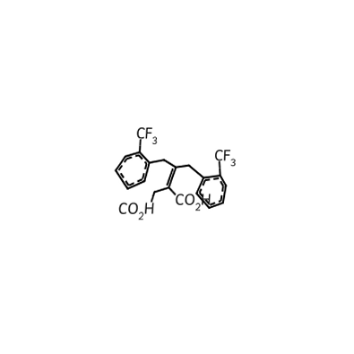 O=C(O)CC(C(=O)O)=C(Cc1ccccc1C(F)(F)F)Cc1ccccc1C(F)(F)F